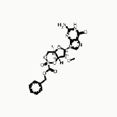 CO[C@H]1[C@H](n2cnc3c(=O)[nH]c(N)nc32)O[C@]2(C)COP(=O)(C(=O)OCc3ccccc3)O[C@@H]12